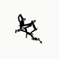 NC1CN2CC1NC2=O